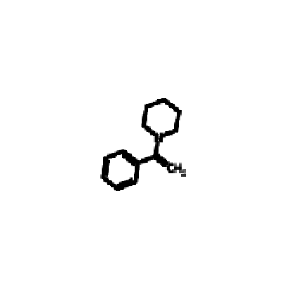 C=C(c1ccccc1)N1CCCCC1